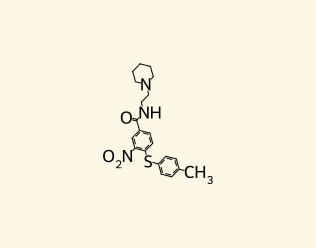 Cc1ccc(Sc2ccc(C(=O)NCCN3CCCCC3)cc2[N+](=O)[O-])cc1